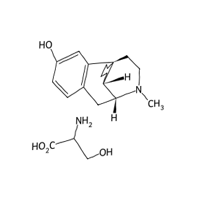 CN1CC[C@]23CCCC[C@H]2[C@H]1Cc1ccc(O)cc13.NC(CO)C(=O)O